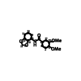 COc1ccc(C(=O)Nc2cccc3c2OCO3)cc1OC